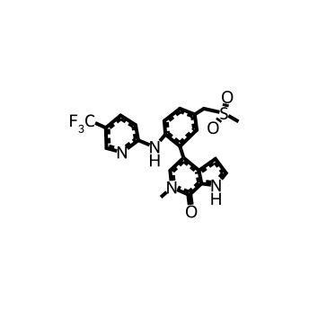 Cn1cc(-c2cc(CS(C)(=O)=O)ccc2Nc2ccc(C(F)(F)F)cn2)c2cc[nH]c2c1=O